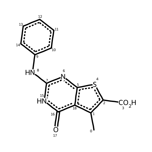 Cc1c(C(=O)O)sc2nc(Nc3ccccc3)[nH]c(=O)c12